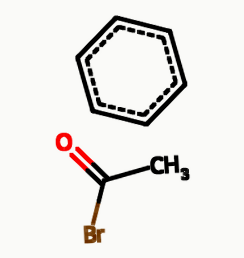 CC(=O)Br.c1ccccc1